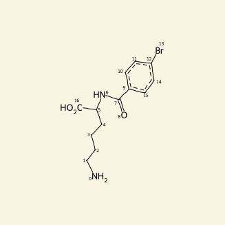 NCCCCC(NC(=O)c1ccc(Br)cc1)C(=O)O